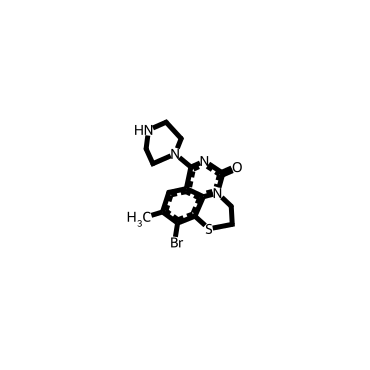 Cc1cc2c(N3CCNCC3)nc(=O)n3c2c(c1Br)SCC3